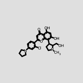 CN1CCC(c2c(O)cc(O)c3c(=O)cc(-c4ccc(N5CCCC5)cc4Cl)oc23)C1CO